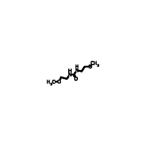 COCCNC(=O)NCCOC